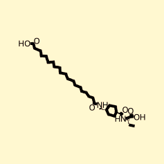 CC[C@H](NC(=O)[C@H]1CC[C@H](CNC(=O)CCCCCCCCCCCCCCCCCCC(=O)O)CC1)C(=O)O